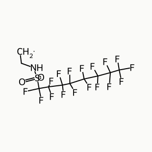 [CH2]CNS(=O)(=O)C(F)(F)C(F)(F)C(F)(F)C(F)(F)C(F)(F)C(F)(F)C(F)(F)C(F)(F)F